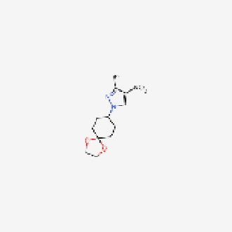 CC(C)c1nn(C2CCC3(CC2)OCCO3)cc1[N+](=O)[O-]